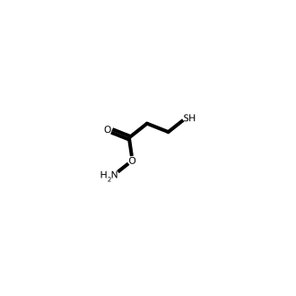 NOC(=O)CCS